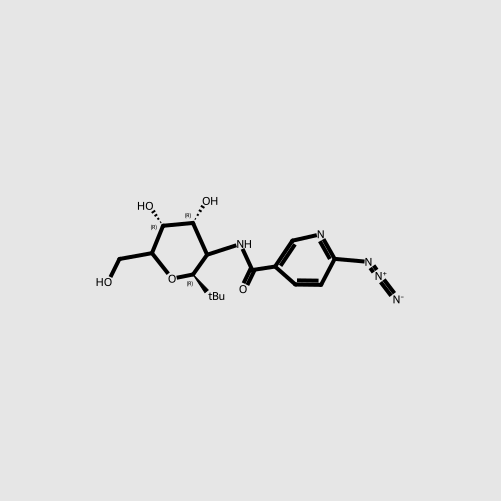 CC(C)(C)[C@H]1OC(CO)[C@H](O)[C@H](O)C1NC(=O)c1ccc(N=[N+]=[N-])nc1